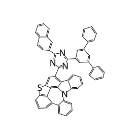 c1ccc(-c2cc(-c3ccccc3)cc(-c3nc(-c4ccc5ccccc5c4)nc(-c4cc5sc6cccc7c8ccccc8n8c9ccccc9c4c8c5c67)n3)c2)cc1